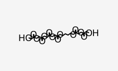 O=C(CO)OCC(=O)OCCCCOC(=O)COC(=O)COC(=O)COC(=O)CO